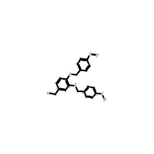 CCOc1ccc(COc2ccc(CCl)cc2OCc2ccc(OCC)cc2)cc1